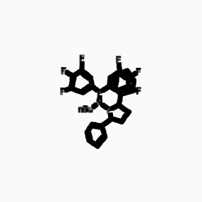 CCCCN(P(c1cc(F)c(F)c(F)c1)c1cc(F)c(F)c(F)c1)P1C(c2ccccc2)CCC1c1ccccc1